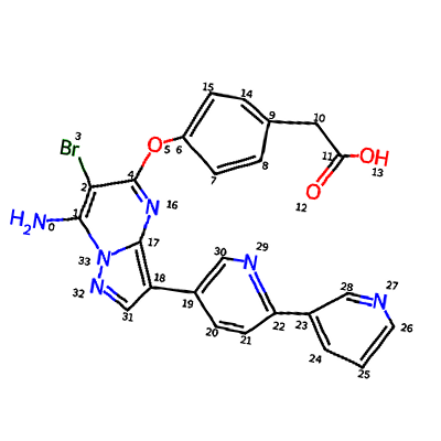 Nc1c(Br)c(Oc2ccc(CC(=O)O)cc2)nc2c(-c3ccc(-c4cccnc4)nc3)cnn12